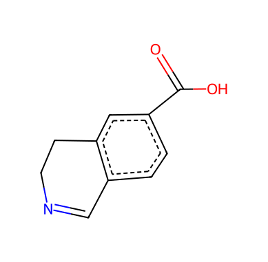 O=C(O)c1ccc2c(c1)CCN=C2